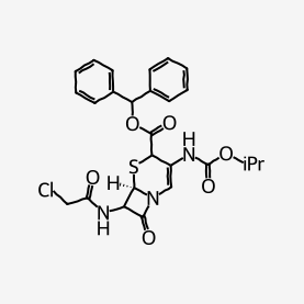 CC(C)OC(=O)NC1=CN2C(=O)C(NC(=O)CCl)[C@H]2SC1C(=O)OC(c1ccccc1)c1ccccc1